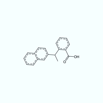 CC(c1ccc2ccccc2c1)c1ccccc1C(=O)O